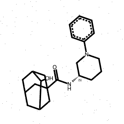 O=C(N[C@H]1CCCN(c2cc[c]cc2)C1)C12CC3CC(C1)C(O)C(C3)C2